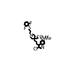 COc1ccc2ncc(Cl)c(CCCC3(CC(=O)O)CCN(CCCSc4c(F)cccc4F)CC3)c2c1